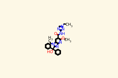 CCn1cnc(NC(=O)c2cc3c(nc2OC)nc(C(O)(c2ccccc2)c2ccccc2)n3CC)n1